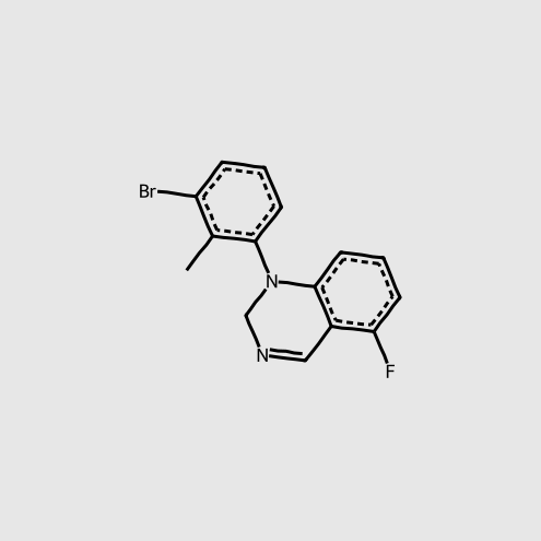 Cc1c(Br)cccc1N1CN=Cc2c(F)cccc21